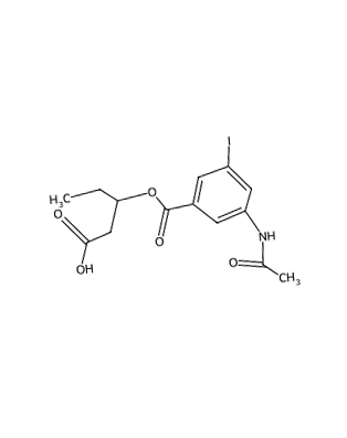 CCC(CC(=O)O)OC(=O)c1cc(I)cc(NC(C)=O)c1